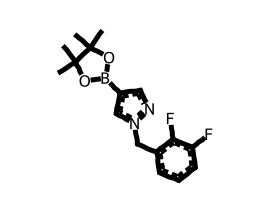 CC1(C)OB(c2cnn(Cc3cccc(F)c3F)c2)OC1(C)C